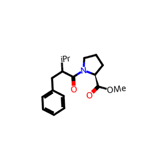 COC(=O)[C@@H]1CCCN1C(=O)C(Cc1ccccc1)C(C)C